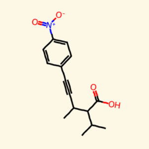 CC(C)C(C(=O)O)C(C)C#Cc1ccc([N+](=O)[O-])cc1